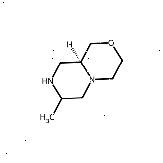 CC1CN2CCOC[C@@H]2CN1